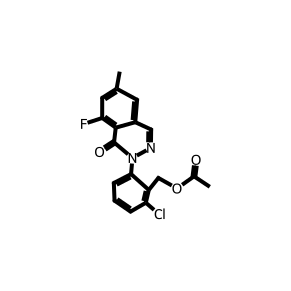 CC(=O)OCc1c(Cl)cccc1-n1ncc2cc(C)cc(F)c2c1=O